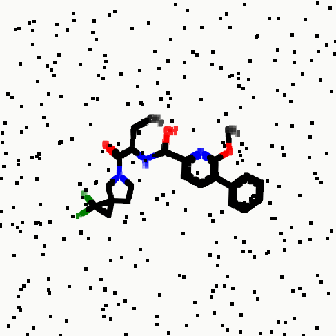 CC[C@@H](NC(O)c1ccc(-c2ccccc2)c(OC)n1)C(=O)N1CCC2(C1)CC2(F)F